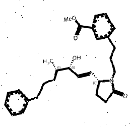 COC(=O)c1cccc(CCCN2C(=O)CC[C@@H]2C=C[C@@H](O)[C@@H](C)CCCc2ccccc2)c1